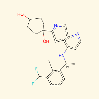 Cc1c(C(F)F)cccc1[C@@H](C)Nc1ccnc2cnc(C3(O)CCC(O)CC3)cc12